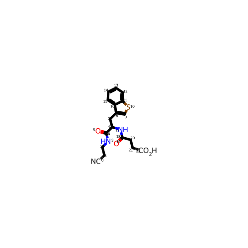 N#CCCNC(=O)C(Cc1csc2ccccc12)NC(=O)CCC(=O)O